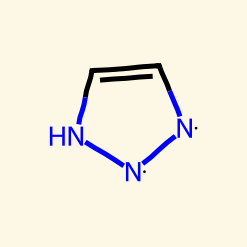 C1=CN[N][N]1